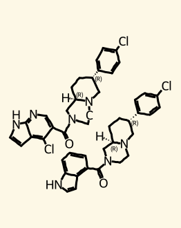 O=C(c1cccc2[nH]ccc12)N1CCN2C[C@@H](c3ccc(Cl)cc3)CC[C@@H]2C1.O=C(c1cnc2[nH]ccc2c1Cl)N1CCN2C[C@@H](c3ccc(Cl)cc3)CC[C@@H]2C1